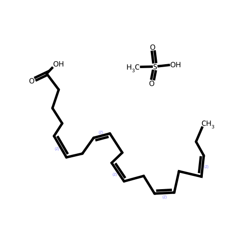 CC/C=C\C/C=C\C/C=C\C/C=C\C/C=C\CCCC(=O)O.CS(=O)(=O)O